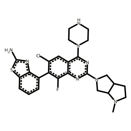 CN1CCC2CN(c3nc(N4CCNCC4)c4cc(Cl)c(-c5cccc6sc(N)nc56)c(F)c4n3)CC21